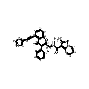 C[C@@H](NC(=O)c1c(N)nn2cccnc12)c1oc2cccc(C#Cc3cncs3)c2c(=O)c1-c1ccccc1